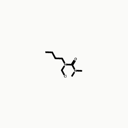 CCCCN(CCl)C(=O)N(C)C